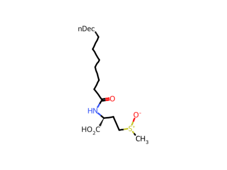 CCCCCCCCCCCCCCCCC(=O)N[C@@H](CC[S+](C)[O-])C(=O)O